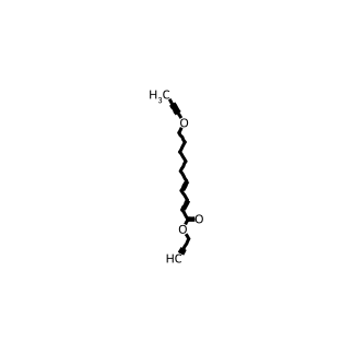 C#CCOC(=O)/C=C/C=C/CCCCCOC#CC